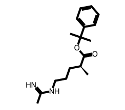 CC(=N)NCCC[C@H](C)C(=O)OC(C)(C)c1ccccc1